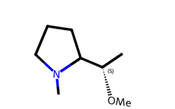 CO[C@@H](C)C1CCCN1C